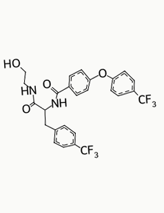 O=C(NC(Cc1ccc(C(F)(F)F)cc1)C(=O)NCCO)c1ccc(Oc2ccc(C(F)(F)F)cc2)cc1